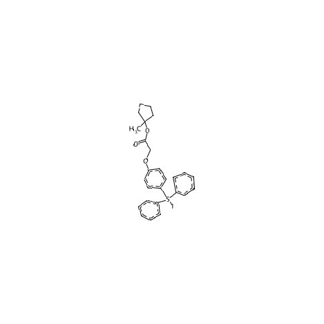 CC1(OC(=O)COc2ccc(S(I)(c3ccccc3)c3ccccc3)cc2)CCCC1